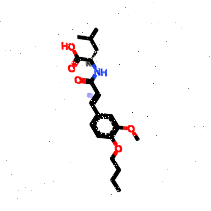 CCCCOc1ccc(/C=C/C(=O)N[C@@H](CC(C)C)C(=O)O)cc1OC